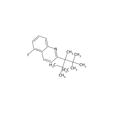 CC(C)(C)C(C)(c1ccc2c(I)cccc2n1)C(C)(C)C